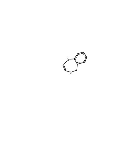 [C]1=CSCc2ccccc2S1